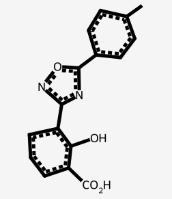 Cc1ccc(-c2nc(-c3cccc(C(=O)O)c3O)no2)cc1